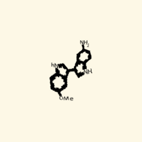 COc1ccc2[nH]cc(-c3c[nH]c4ccc(N)cc34)c2c1